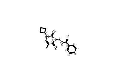 Cc1cn(C2CCC2)c(=O)n(COC(=O)c2ccccc2)c1=O